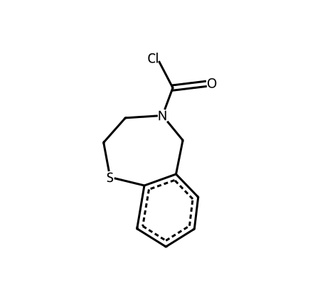 O=C(Cl)N1CCSc2ccccc2C1